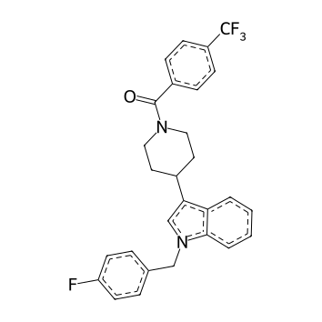 O=C(c1ccc(C(F)(F)F)cc1)N1CCC(c2cn(Cc3ccc(F)cc3)c3ccccc23)CC1